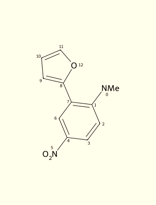 CNc1ccc([N+](=O)[O-])cc1-c1ccco1